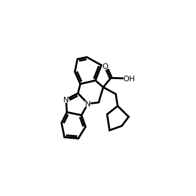 O=C(O)C1(CC2CCCC2)Cn2c(nc3ccccc32)-c2ccccc21